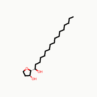 CCCCCCCCCCCCCCCCC(O)[C@H]1OCC[C@@H]1O